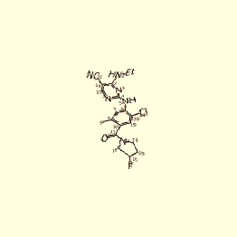 CCNc1nc(Nc2cc(C)c(C(=O)N3CCC(F)C3)cc2Cl)ncc1C#N